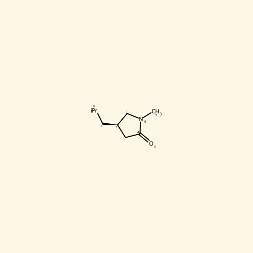 CC(C)C[C@@H]1CC(=O)N(C)C1